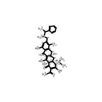 CC(c1ccccc1)N(C)Cc1cc(O)c2c(c1C(F)(F)F)C[C@H]1C[C@H]3[C@H](N(C)C)C(O)=C(C(N)=O)C(=O)[C@@]3(O)C(O)=C1C2=O